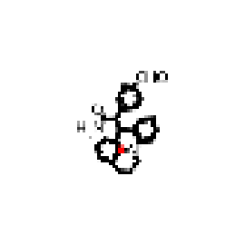 NC(=O)C(c1ccc(C=O)cc1)C(c1ccccc1)c1ccccc1N1CCCCC1